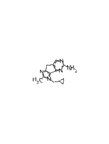 Cc1nc2c(n1CC1CC1)-c1nc(N)ncc1C2